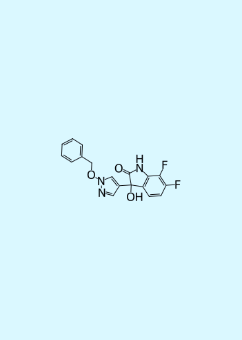 O=C1Nc2c(ccc(F)c2F)C1(O)c1cnn(OCc2ccccc2)c1